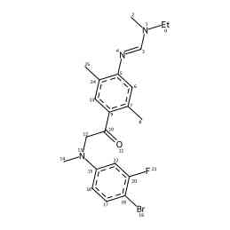 CCN(C)C=Nc1cc(C)c(C(=O)CN(C)c2ccc(Br)c(F)c2)cc1C